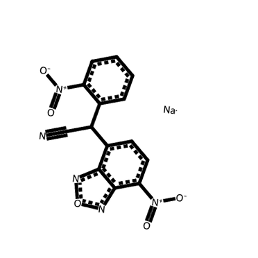 N#CC(c1ccccc1[N+](=O)[O-])c1ccc([N+](=O)[O-])c2nonc12.[Na]